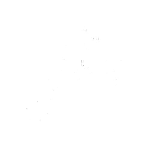 COc1cc(C(Nc2ccc(C(=N)N)cc2)C(=O)Nc2ccc(C(=O)O)cc2)ccc1OCc1ccccc1